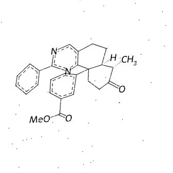 COC(=O)c1cccc(C23CCC(=O)[C@@H](C)[C@@H]2CCc2cnc(-c4ccccc4)nc23)c1